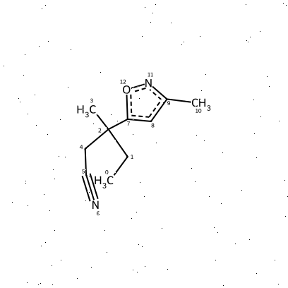 CCC(C)(CC#N)c1cc(C)no1